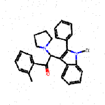 CCn1c(-c2ccccc2)c(C(C(=O)c2ccccc2C)N2CCCC2)c2ccccc21